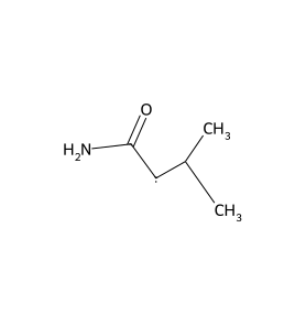 CC(C)[CH]C(N)=O